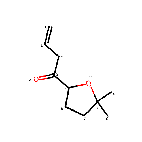 C=CCC(=O)C1CCC(C)(C)O1